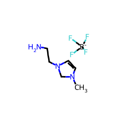 CN1C=CN(CCN)C1.F[B-](F)(F)F